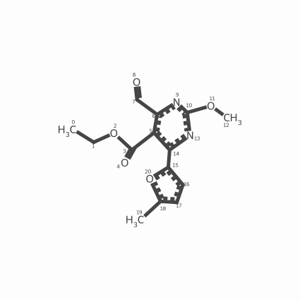 CCOC(=O)c1c(C=O)nc(OC)nc1-c1ccc(C)o1